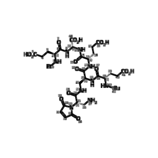 CCN[C@@H](CCC(=O)O)C(=O)N[C@@H](NC(=O)[C@H](CCC(=O)O)NC(=O)[C@H](CNC(=O)[C@H](CN)N1C(=O)C=CC1=O)NC(=O)[C@H](CCC(=O)O)NC(C)(C)C)C(=O)O